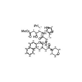 COC(=O)C[C@H](O)[C@H](CC(C)C)NC(=O)[C@H](Cc1c[nH]cn1)NC(=O)C(CC(=O)N1CCOCC1)Cc1cccc2ccccc12